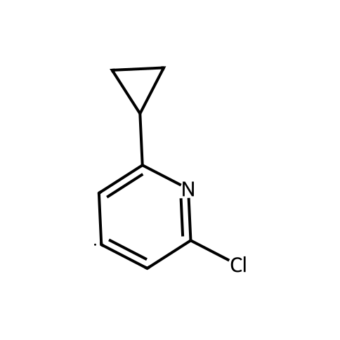 Clc1c[c]cc(C2CC2)n1